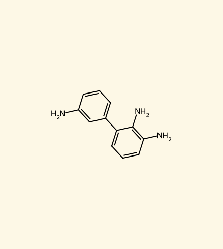 Nc1cccc(-c2cccc(N)c2N)c1